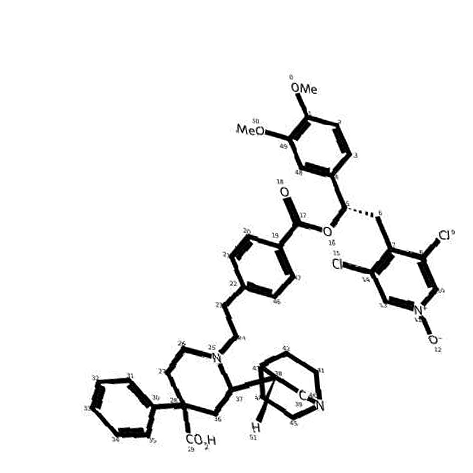 COc1ccc([C@H](Cc2c(Cl)c[n+]([O-])cc2Cl)OC(=O)c2ccc(CCN3CCC(C(=O)O)(c4ccccc4)CC3[C@H]3CN4CCC3CC4)cc2)cc1OC